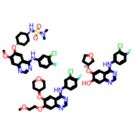 COCCOc1cc2ncnc(Nc3ccc(F)c(Cl)c3)c2cc1OC1CCOCC1.COc1cc2ncnc(Nc3ccc(F)c(Cl)c3)c2cc1O[C@H]1CC[C@H](NS(=O)(=O)N(C)C)CC1.Oc1cc2ncnc(Nc3ccc(F)c(Cl)c3)c2cc1O[C@H]1CCOC1